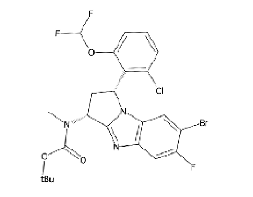 CN(C(=O)OC(C)(C)C)[C@@H]1C[C@H](c2c(Cl)cccc2OC(F)F)n2c1nc1cc(F)c(Br)cc12